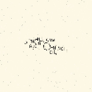 COC1/C=C(/N2CCN(C)CC2)[C@@H](C)/C=C\CC1Nc1ncc(N2CCOCC2)c(N)n1